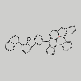 c1ccc2c(-c3ccc4oc5c(-c6cccc7ccccc67)cccc5c4c3)c3ccccc3c(-c3ccccc3C3=c4ccccc4=CCC3)c2c#1